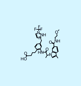 COCCNC(=O)c1ccc2c(C)cn(C(C)C(=O)Nc3cc(CN4C=CN(C(F)(F)F)N4)ccc3CCCC(=O)O)c2c1